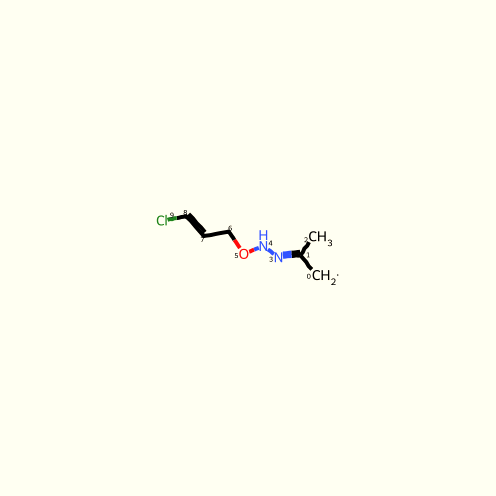 [CH2]C(C)=NNOC/C=C/Cl